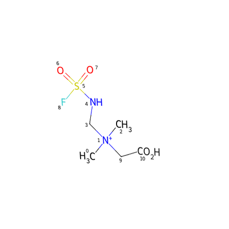 C[N+](C)(CNS(=O)(=O)F)CC(=O)O